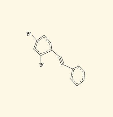 Brc1ccc(C#Cc2ccccc2)c(Br)c1